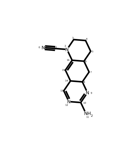 N#CN1CCCC2CC3N=C(N)N=CC3C=C21